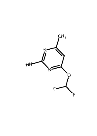 Cc1cc(OC(F)F)nc([NH])n1